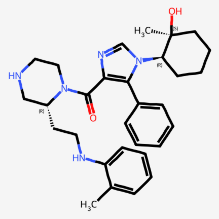 Cc1ccccc1NCC[C@@H]1CNCCN1C(=O)c1ncn([C@@H]2CCCC[C@]2(C)O)c1-c1ccccc1